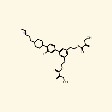 C=C(CO)C(=O)OCCc1cc(CCOC(=O)C(=C)CO)cc(-c2ccc(C3CCC(CC/C=C/C)CC3)c(F)c2)c1